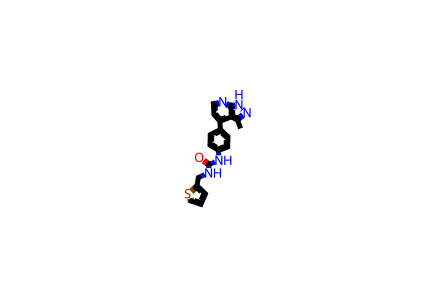 Cc1n[nH]c2nccc(-c3ccc(NC(=O)NCc4cccs4)cc3)c12